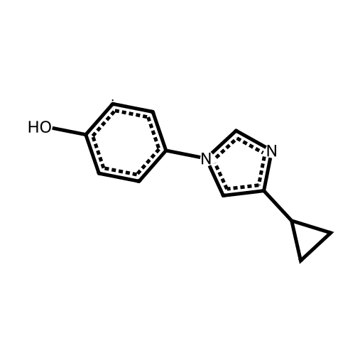 Oc1[c]cc(-n2cnc(C3CC3)c2)cc1